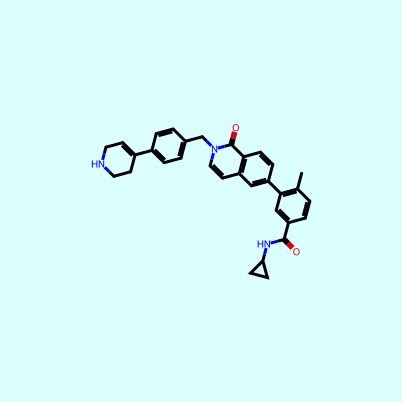 Cc1ccc(C(=O)NC2CC2)cc1-c1ccc2c(=O)n(Cc3ccc(C4=CCNCC4)cc3)ccc2c1